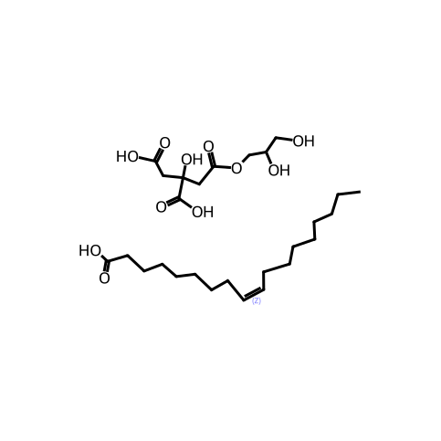 CCCCCCCC/C=C\CCCCCCCC(=O)O.O=C(O)CC(O)(CC(=O)OCC(O)CO)C(=O)O